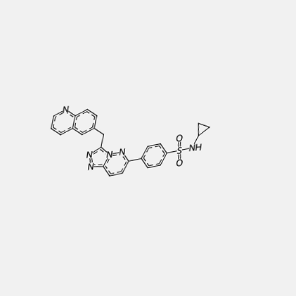 O=S(=O)(NC1CC1)c1ccc(-c2ccc3nnc(Cc4ccc5ncccc5c4)n3n2)cc1